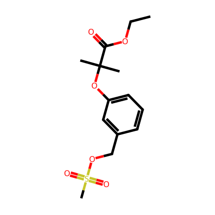 CCOC(=O)C(C)(C)Oc1cccc(COS(C)(=O)=O)c1